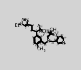 CCn1cc(CCC(c2ccc(C)c(CN3Cc4cnccc4OC(C)(C)C3)c2)C(C)C(C)=O)nn1